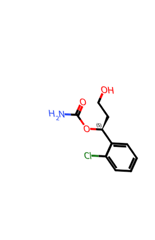 NC(=O)O[C@@H](CCO)c1ccccc1Cl